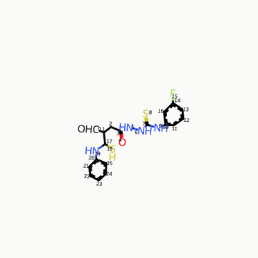 O=CC(CC(=O)NNC(=S)Nc1cccc(F)c1)C(S)Nc1ccccc1